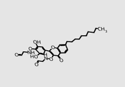 CCCCCCCCCCc1ccc2c(=O)c(ONCC=O)c(-c3cc(O)c(ONCC=O)c(O)c3)oc2c1